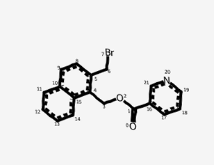 O=C(OCc1c(CBr)ccc2ccccc12)c1cccnc1